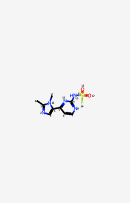 Cc1ncc(-c2ccnc(NS(=O)(=O)F)n2)n1C